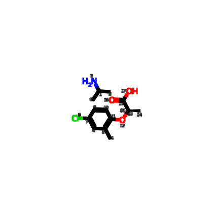 CC(C)N.Cc1cc(Cl)ccc1O[C@H](C)C(=O)O